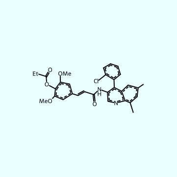 CCC(=O)Oc1c(OC)cc(/C=C/C(=O)Nc2cnc3c(C)cc(C)cc3c2-c2ccccc2Cl)cc1OC